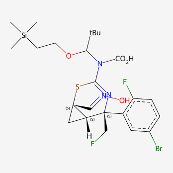 CC(C)(C)C(OCC[Si](C)(C)C)N(C(=O)O)C1=N[C@](CF)(c2cc(Br)ccc2F)[C@@H]2C[C@]2(C=NO)S1